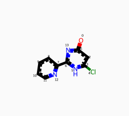 O=c1cc(Cl)[nH]c(-c2ccccn2)n1